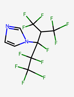 FC(F)(F)C(C(F)(F)F)C(F)(n1ccnc1)C(F)(F)C(F)(F)F